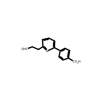 O=CCCc1cccc(-c2ccc(C(=O)O)cc2)n1